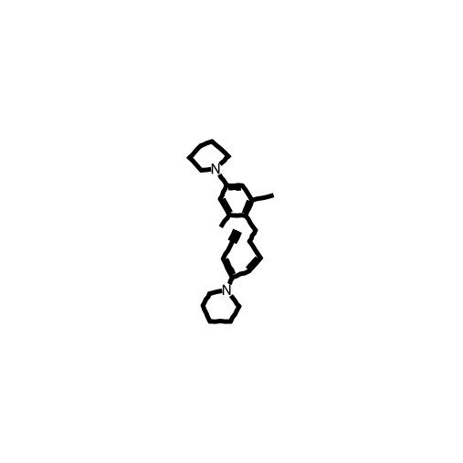 C#C/C=C(\C=C/CCc1c(C)cc(N2CCCCC2)cc1C)N1CCCCC1